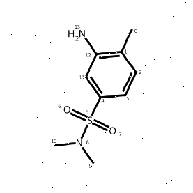 Cc1ccc(S(=O)(=O)N(C)C)cc1N